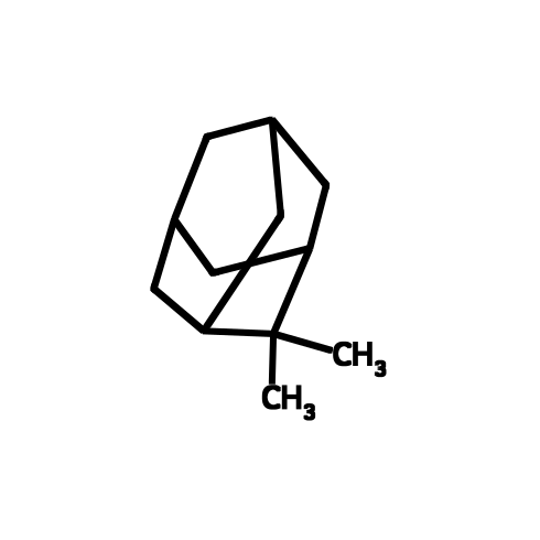 CC1(C)C2CC3CC(C2)CC1C3